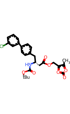 Cc1oc(=O)oc1COC(=O)C[C@@H](Cc1ccc(-c2cccc(Cl)c2)cc1)NC(=O)OC(C)(C)C